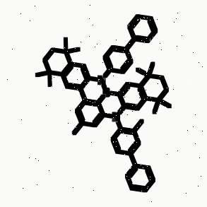 Cc1cc2c3c(c1)N(c1ccc(-c4ccccc4)cc1C)c1cc4c(cc1B3N(c1ccc(-c3ccccc3)cc1)c1cc3c(cc1-2)C(C)(C)CCC3(C)C)C(C)(C)CCC4(C)C